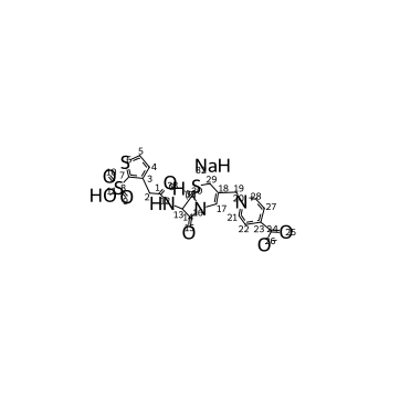 O=C(Cc1ccsc1S(=O)(=O)O)NC1C(=O)N2C=C(C[n+]3ccc(C(=O)[O-])cc3)CS[C@H]12.[NaH]